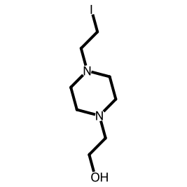 OCCN1CCN(CCI)CC1